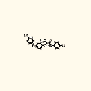 CCc1ccc(NC(=O)C(C)Oc2ccc(Oc3ccc(C#N)cc3)cc2)cc1